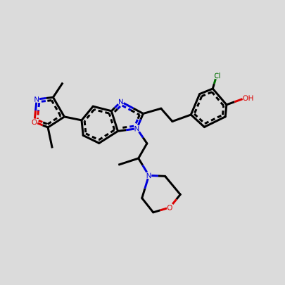 Cc1noc(C)c1-c1ccc2c(c1)nc(CCc1ccc(O)c(Cl)c1)n2CC(C)N1CCOCC1